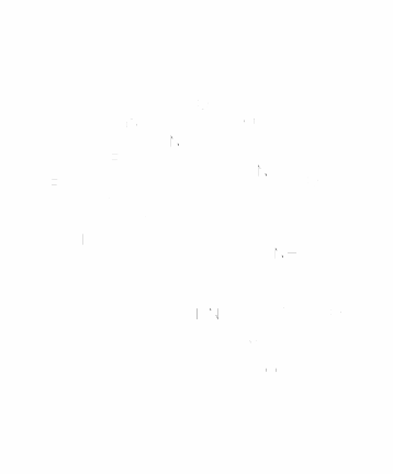 O=c1[nH]c2cc(C(F)(F)F)c([N+](=O)[O-])c([N+](=O)[O-])c2[nH]c1=O